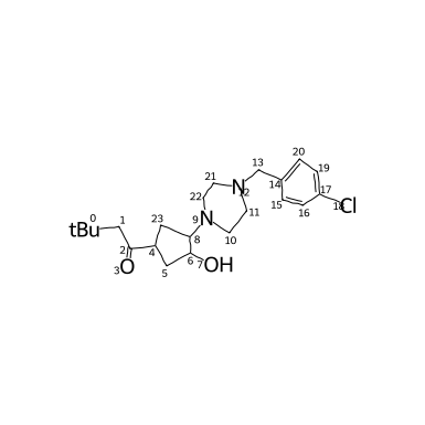 CC(C)(C)CC(=O)C1CC(O)C(N2CCN(Cc3ccc(Cl)cc3)CC2)C1